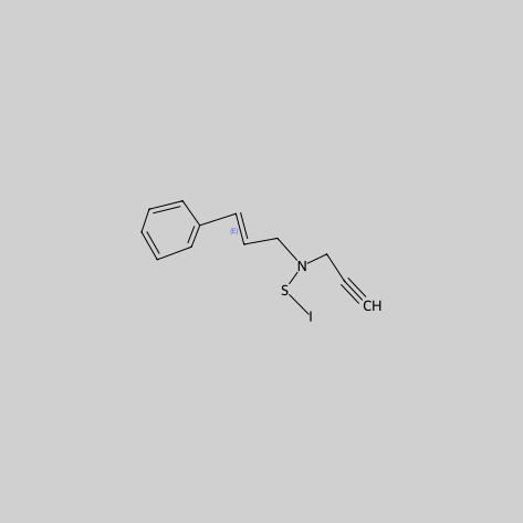 C#CCN(C/C=C/c1ccccc1)SI